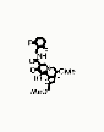 COCCC[C@@]1(C)C(=O)c2c(O)c(=O)c(C(=O)NCc3c(F)cccc3F)cn2C[C@@H]1OC